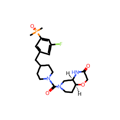 CP(C)(=O)c1cc(F)cc(CC2CCN(C(=O)N3CC[C@@H]4OCC(=O)N[C@@H]4C3)CC2)c1